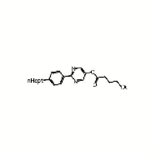 CCCCCCCc1ccc(-c2ncc(OC(=O)CCCC(C)CC)cn2)cc1